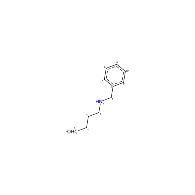 O=[C]CCCNCc1ccccc1